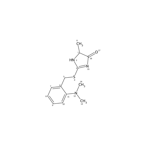 CC1NC(SCc2ccccc2N(C)C)=NC1=O